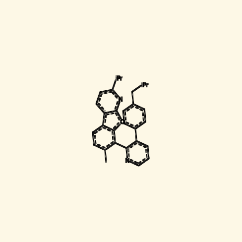 Cc1ccc2c(oc3nc(C(C)C)ccc32)c1-c1ncccc1-c1ccc(CC(C)C)cc1